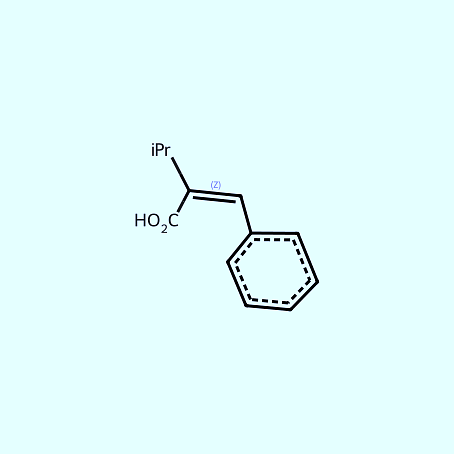 CC(C)/C(=C/c1ccccc1)C(=O)O